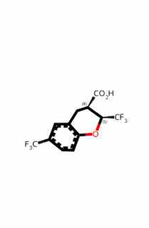 O=C(O)[C@@H]1Cc2cc(C(F)(F)F)ccc2O[C@@H]1C(F)(F)F